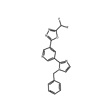 FC(F)c1nnc(-c2cncc(-c3nccn3Cc3ccccc3)c2)o1